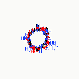 CCCC[C@H]1C(=O)N(C)[C@@H](CCCC)C(=O)N[C@@H](CCCNC(=N)N)C(=O)NC(C(=O)NCC(N)=O)CSCC(=O)N[C@@H](Cc2ccc(O)cc2)C(=O)N(C)[C@@H](C)C(=O)N[C@@H](CC(N)=O)C(=O)N2CCC[C@H]2C(=O)N[C@@H](Cc2c[nH]cn2)C(=O)NCC(=O)N[C@@H](CC(C)C)C(=O)N2CCC[C@H]2C(=O)N[C@@H](Cc2c[nH]c3ccccc23)C(=O)N[C@@H](CO)C(=O)N[C@@H](Cc2c[nH]c3ccccc23)C(=O)N1C